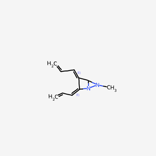 C=C/C=C1\C(=C/C=C)N2C1N2C